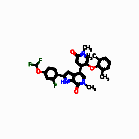 Cc1cccc(C)c1Oc1cn(C)c(=O)cc1-c1cn(C)c(=O)c2[nH]c(-c3ccc(OC(F)F)cc3F)cc12